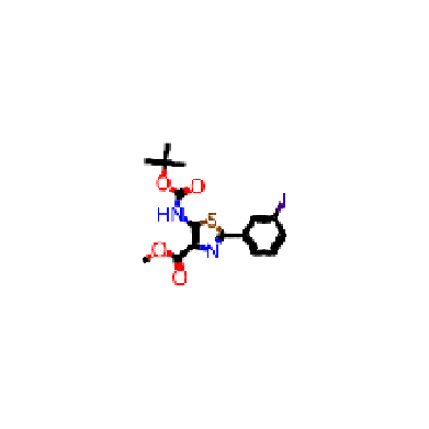 COC(=O)c1nc(-c2cccc(I)c2)sc1NC(=O)OC(C)(C)C